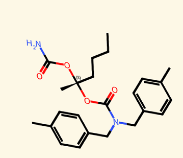 CCCC[C@@](C)(OC(N)=O)OC(=O)N(Cc1ccc(C)cc1)Cc1ccc(C)cc1